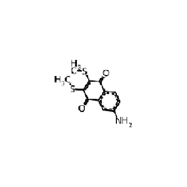 CSC1=C(SC)C(=O)c2cc(N)ccc2C1=O